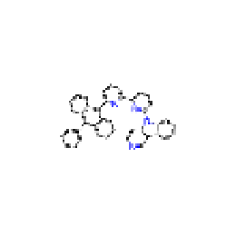 C1=CC2C(C=N1)c1ccccc1N2c1cccc(-c2cccc(-c3c4ccccc4c(-c4ccccc4)c4ccccc34)n2)n1